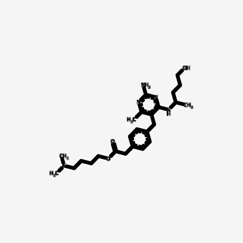 Cc1nc(N)nc(NC(C)CCCO)c1Cc1ccc(CC(=O)OCCCCN(C)C)cc1